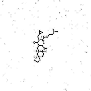 CN(C)CCCNC(=O)N(CC1CC1)C(=O)C1C[C@@H]2CC3(CC[C@H]2N(C)C1)OCCO3